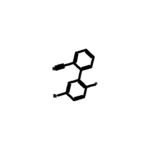 N#Cc1ccccc1-c1cc(Br)ccc1F